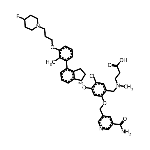 Cc1c(OCCCN2CCC(F)CC2)cccc1-c1cccc2c1CC[C@@H]2Oc1cc(OCc2cncc(C(N)=O)c2)c(CN(C)CCC(=O)O)cc1Cl